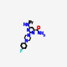 CC(C)Nc1cc(C(N)=O)nc(N2CCN(c3ccc(F)cc3)CC2)n1